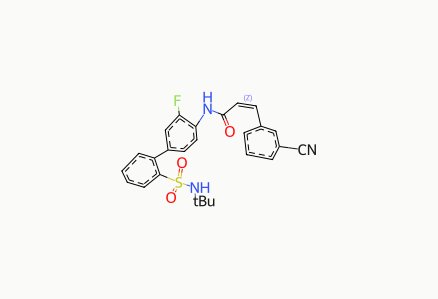 CC(C)(C)NS(=O)(=O)c1ccccc1-c1ccc(NC(=O)/C=C\c2cccc(C#N)c2)c(F)c1